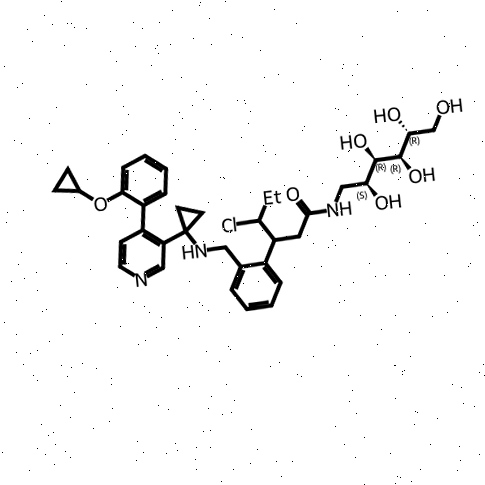 CCC(Cl)C(CC(=O)NC[C@H](O)[C@@H](O)[C@H](O)[C@H](O)CO)c1ccccc1CNC1(c2cnccc2-c2ccccc2OC2CC2)CC1